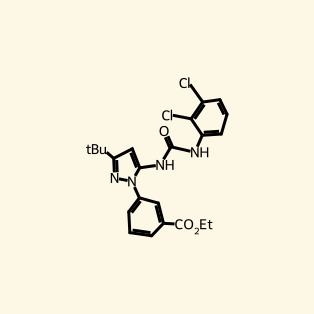 CCOC(=O)c1cccc(-n2nc(C(C)(C)C)cc2NC(=O)Nc2cccc(Cl)c2Cl)c1